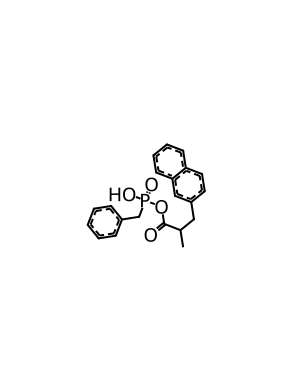 CC(Cc1ccc2ccccc2c1)C(=O)OP(=O)(O)Cc1ccccc1